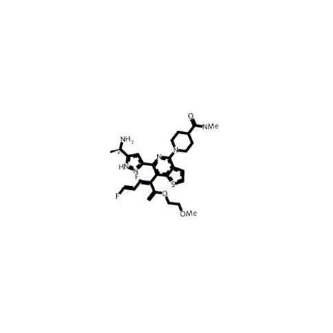 C=C(OCCOC)/C(=C(F)\C=C\F)c1c(-c2cc([C@@H](C)N)[nH]n2)nc(N2CCC(C(=O)NC)CC2)c2ccsc12